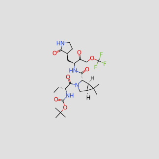 CC[C@@H](NC(=O)OC(C)(C)C)C(=O)N1C[C@H]2[C@@H]([C@H]1C(=O)N[C@@H](C[C@@H]1CCNC1=O)C(=O)COC(F)(F)F)C2(C)C